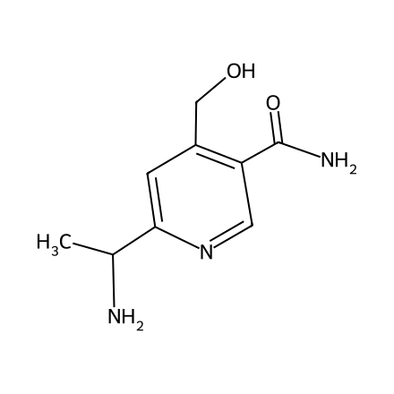 CC(N)c1cc(CO)c(C(N)=O)cn1